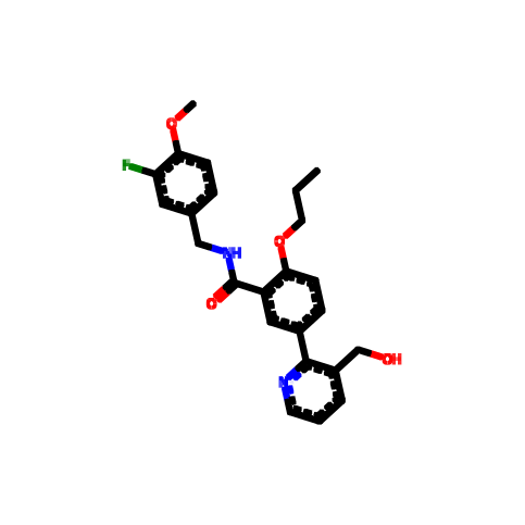 CCCOc1ccc(-c2ncccc2CO)cc1C(=O)NCc1ccc(OC)c(F)c1